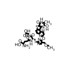 CCOCc1cnc(SC[C@H](NC(=O)CC[C@H](N)C(=O)O)C(=O)NCC(=O)O)nc1Oc1ccc2c(ccc3sc4c(c32)N[C@@H](O)[C@@H](C)NC4=O)n1